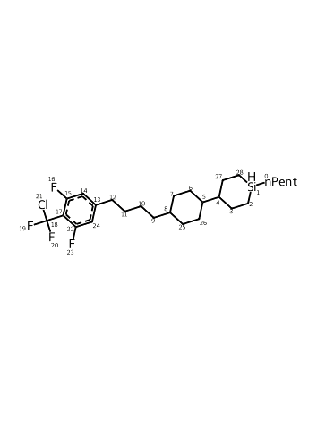 CCCCC[SiH]1CCC(C2CCC(CCCCc3cc(F)c(C(F)(F)Cl)c(F)c3)CC2)CC1